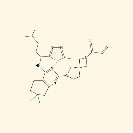 C=CC(=O)N1CC2(CCN(c3nc4c(c(NC(CCC(C)C)c5nnc(C)s5)n3)CCC(C)(C)C4)C2)C1